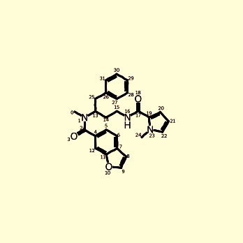 CN(C(=O)c1ccc2ccoc2c1)C(CCNC(=O)c1cccn1C)Cc1ccccc1